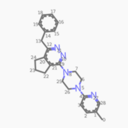 Cc1ccc(N2CCN(c3nnc(Cc4ccccc4)c4c3CCC4)CC2)nc1